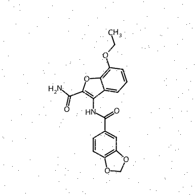 CCOc1cccc2c(NC(=O)c3ccc4c(c3)OCO4)c(C(N)=O)oc12